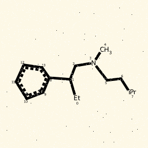 CCC(CN(C)CCC(C)C)c1ccccc1